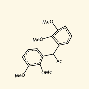 COc1cccc(C(C(C)=O)c2cccc(OC)c2OC)c1OC